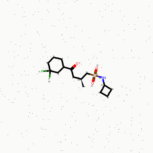 C[C@@H](CC(=O)C1CCCC(F)(F)C1)CS(=O)(=O)NC1CCC1